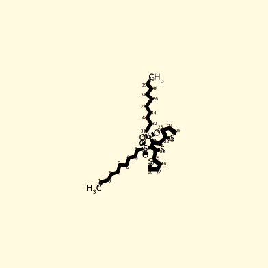 CCCCCCCCCCS(=O)(=O)c1c(-c2cccs2)sc(-c2cccs2)c1S(=O)(=O)CCCCCCCCCC